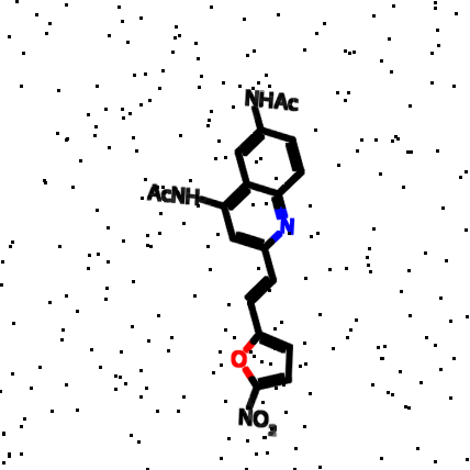 CC(=O)Nc1ccc2nc(/C=C/c3ccc([N+](=O)[O-])o3)cc(NC(C)=O)c2c1